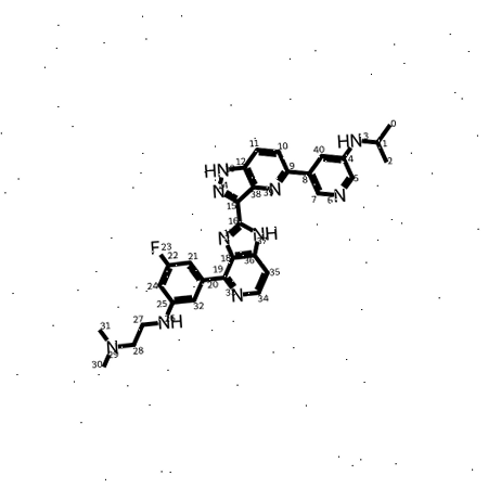 CC(C)Nc1cncc(-c2ccc3[nH]nc(-c4nc5c(-c6cc(F)cc(NCCN(C)C)c6)nccc5[nH]4)c3n2)c1